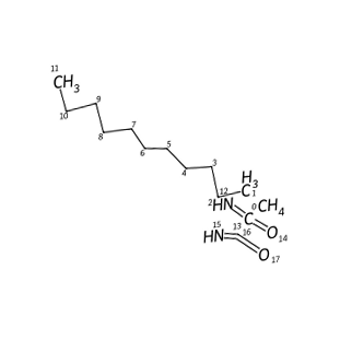 C.CCCCCCCCCCC.N=C=O.N=C=O